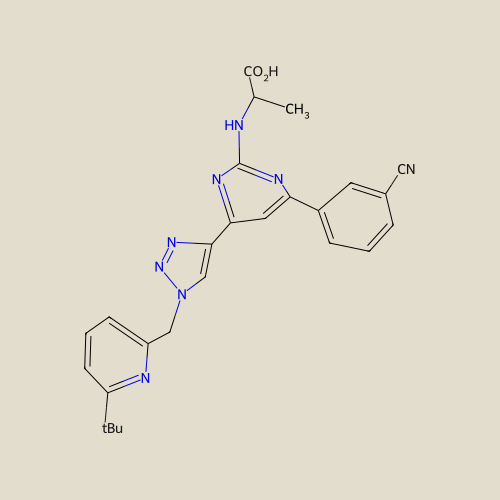 CC(Nc1nc(-c2cccc(C#N)c2)cc(-c2cn(Cc3cccc(C(C)(C)C)n3)nn2)n1)C(=O)O